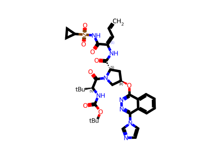 C=C/C=C(/NC(=O)[C@@H]1C[C@@H](Oc2nnc(-n3ccnc3)c3ccccc23)CN1C(=O)[C@@H](NC(=O)OC(C)(C)C)C(C)(C)C)C(=O)NS(=O)(=O)C1CC1